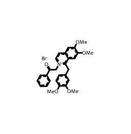 COc1ccc(Cc2c3cc(OC)c(OC)cc3cc[n+]2CC(=O)c2ccccc2)cc1OC.[Br-]